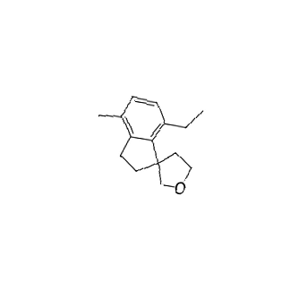 CCc1ccc(C)c2c1C1(CCOC1)CC2